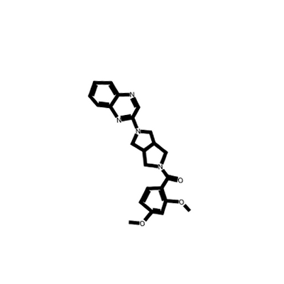 COc1ccc(C(=O)N2CC3CN(c4cnc5ccccc5n4)CC3C2)c(OC)c1